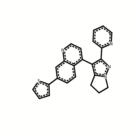 c1ccc(-c2nn3c(c2-c2ccnc4cc(-c5cccs5)ccc24)CCC3)nc1